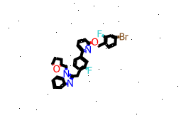 Fc1cc(Br)ccc1COc1cccc(-c2ccc(Cc3nc4ccccc4n3CC3CCCO3)c(F)c2)n1